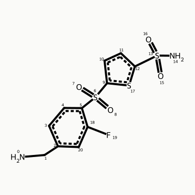 NCc1ccc(S(=O)(=O)c2ccc(S(N)(=O)=O)s2)c(F)c1